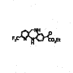 CCOC(=O)C(=O)c1ccc2c(c1)NCc1ccc(C(F)(F)F)nc1N2